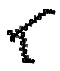 COCCOCCOCCOCC(CC[SiH](Cl)Cl)OCCOCCOCCOC